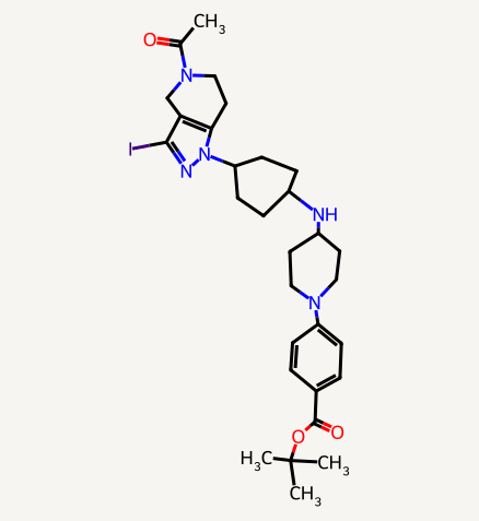 CC(=O)N1CCc2c(c(I)nn2C2CCC(NC3CCN(c4ccc(C(=O)OC(C)(C)C)cc4)CC3)CC2)C1